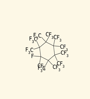 FC(F)(F)C1(F)C(C(F)(F)F)(C(F)(F)F)C(C(F)(F)F)(C(F)(F)F)C(C(F)(F)F)(C(F)(F)F)C(C(F)(F)F)(C(F)(F)F)C1(C(F)(F)F)C(F)(F)F